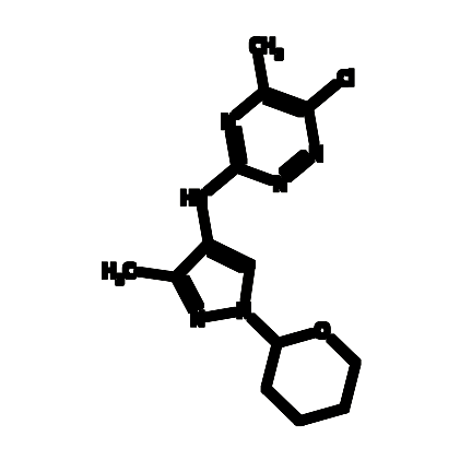 Cc1nn(C2CCCCO2)cc1Nc1nnc(Cl)c(C)n1